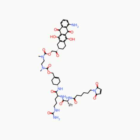 CC(C)[C@H](NC(=O)CCCCCN1C(=O)C=CC1=O)C(=O)NC(CCCNC(N)=O)C(=O)N[C@H]1CC=C(COC(=O)N(C)CCN(C)C(=O)OCC(=O)[C@H]2CCc3c(O)c4c(c(O)c3C2)C(=O)c2cccc(N)c2C4=O)CC1